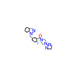 O=C(c1cc(CN2CN=Cc3ccccc32)ccc1F)N1CCN(c2ncccn2)CC1